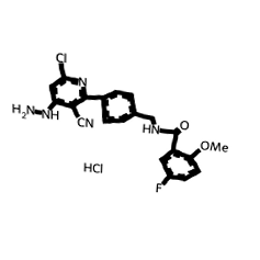 COc1ccc(F)cc1C(=O)NCc1ccc(-c2nc(Cl)cc(NN)c2C#N)cc1.Cl